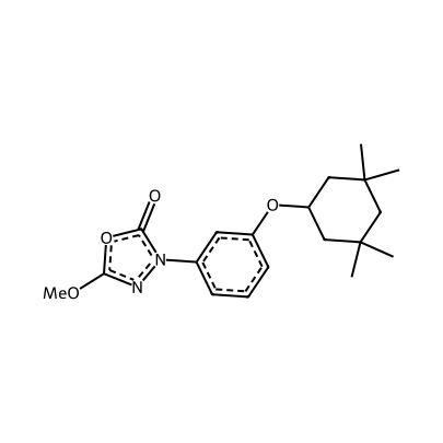 COc1nn(-c2cccc(OC3CC(C)(C)CC(C)(C)C3)c2)c(=O)o1